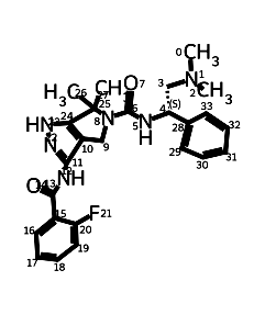 CN(C)C[C@@H](NC(=O)N1Cc2c(NC(=O)c3ccccc3F)n[nH]c2C1(C)C)c1ccccc1